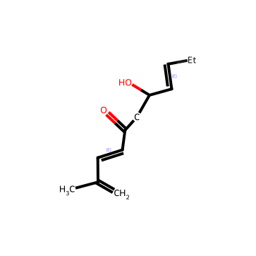 C=C(C)/C=C/C(=O)CC(O)/C=C/CC